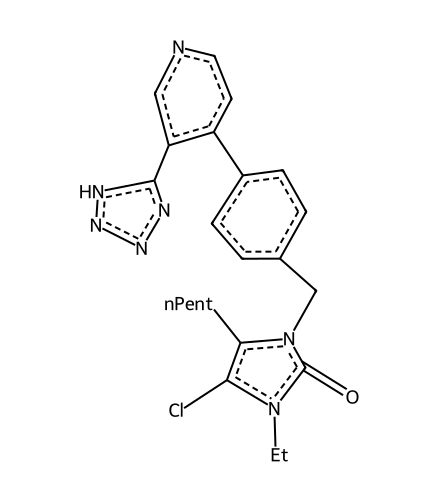 CCCCCc1c(Cl)n(CC)c(=O)n1Cc1ccc(-c2ccncc2-c2nnn[nH]2)cc1